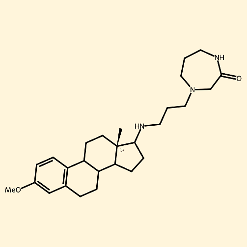 COc1ccc2c(c1)CCC1C2CC[C@]2(C)C(NCCCN3CCCNC(=O)C3)CCC12